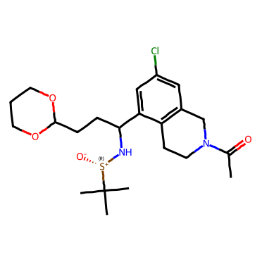 CC(=O)N1CCc2c(cc(Cl)cc2C(CCC2OCCCO2)N[S@@+]([O-])C(C)(C)C)C1